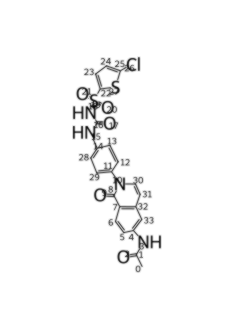 CC(=O)Nc1ccc2c(=O)n(-c3ccc(NC(=O)NS(=O)(=O)c4ccc(Cl)s4)cc3)ccc2c1